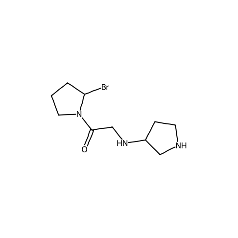 O=C(CNC1CCNC1)N1CCCC1Br